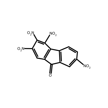 O=C1c2cc([N+](=O)[O-])ccc2-c2c1cc([N+](=O)[O-])c([N+](=O)[O-])c2[N+](=O)[O-]